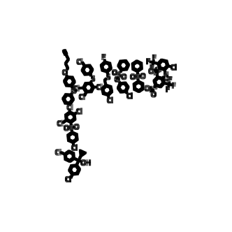 C#CCCCOc1ccc(Oc2ccccc2)cc1.Clc1ccc(Sc2cc(Cl)c(Cl)cc2Cl)cc1.Fc1ccc(SCc2ccc(Cl)cc2)cc1.O=S(=O)(Oc1ccc(Cl)cc1)c1ccccc1.O=S(=O)(c1ccc(Cl)cc1)c1cc(Cl)c(Cl)cc1Cl.O=S(=O)(c1ccccc1)c1ccccc1.O=[N+]([O-])c1cc([N+](=O)[O-])c(Nc2cc(C(F)(F)F)ccc2Cl)c(C(F)(F)F)c1.OC(c1ccc(Cl)cc1)(c1ccc(Cl)cc1)C1CC1